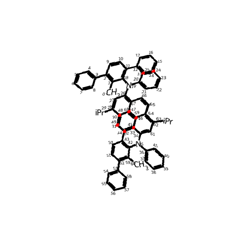 Cc1c(-c2ccccc2)ccc(-c2ccccc2)c1N(c1ccccc1)c1cc(C(C)C)c2ccc3c(N(c4ccccc4)c4c(-c5ccccc5)ccc(-c5ccccc5)c4C)cc(C(C)C)c4ccc1c2c43